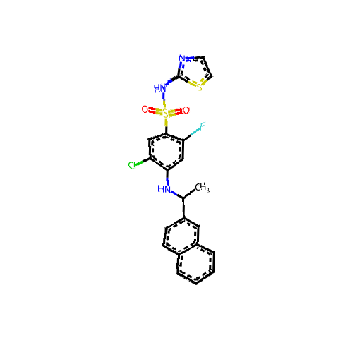 CC(Nc1cc(F)c(S(=O)(=O)Nc2nccs2)cc1Cl)c1ccc2ccccc2c1